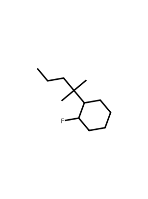 CCCC(C)(C)C1CCCCC1F